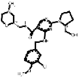 COc1ccc(CNc2nc(N3CCC[C@H]3CO)ncc2C(=O)NC[C@H]2CN(C)CCO2)cc1Cl